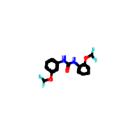 O=C(Nc1cccc(OC(F)F)c1)Nc1ccccc1OC(F)F